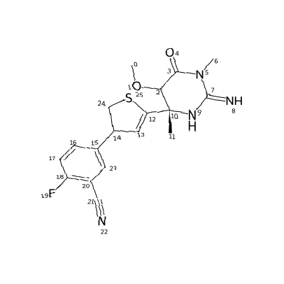 COC1C(=O)N(C)C(=N)N[C@]1(C)C1=CC(c2ccc(F)c(C#N)c2)CS1